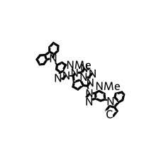 CNc1cc(-n2c3ccccc3c3ccccc32)cc2ncn(-c3nc4ncnc5nc(-n6cnc7cc(-n8c9ccccc9c9ccccc98)cc(NC)c76)c6ccc3c6n45)c12